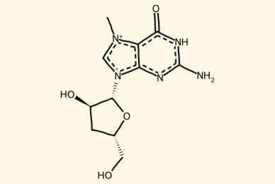 C[n+]1cn([C@@H]2O[C@H](CO)C[C@H]2O)c2nc(N)[nH]c(=O)c21